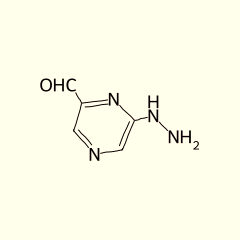 NNc1cncc(C=O)n1